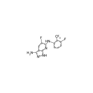 Nc1n[nH]c2nc(Nc3cccc(F)c3C(F)(F)F)c(F)cc12